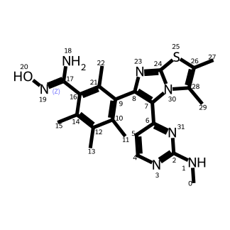 CNc1nccc(-c2c(-c3c(C)c(C)c(C)c(/C(N)=N/O)c3C)nc3sc(C)c(C)n23)n1